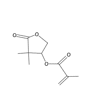 C=C(C)C(=O)OC1COC(=O)C1(C)C